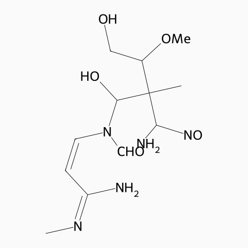 C/N=C(N)\C=C/N(C=O)C(O)C(C)(C(N)N=O)C(CO)OC